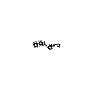 c1cc(CNc2nc3ccc(-c4ccncn4)cc3s2)cc(OCCN2CCCC2)c1